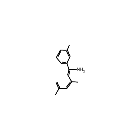 C=C(C)/C=C(C)\C=C(/N)c1cccc(C)c1